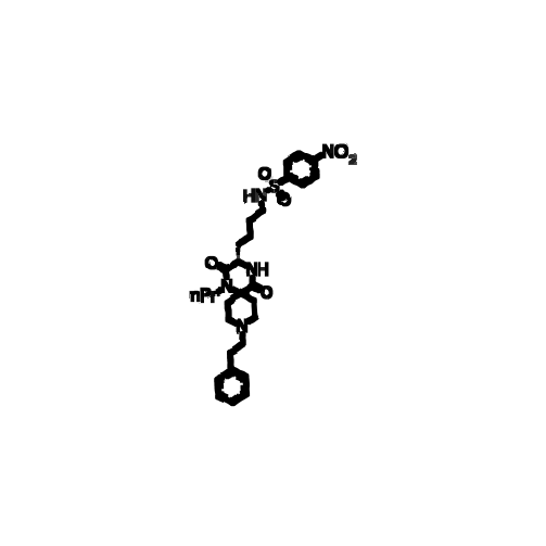 CCCN1C(=O)[C@H](CCCCNS(=O)(=O)c2ccc([N+](=O)[O-])cc2)NC(=O)C12CCN(CCc1ccccc1)CC2